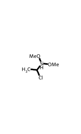 CO[SiH](OC)C(C)Cl